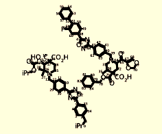 CC(C)Cc1ccc(-c2nc(-c3ccc(CN4CCC(C(=O)O)(C(=O)O)C(OC(=O)OC(C)C)C4(C)C)cc3)no2)cc1.CC1CN(Cc2ccc(-c3noc(-c4ccc(-c5ccccc5)c(F)c4)n3)cc2)C(C(=O)C2=COCO2)CC1(C(=O)O)C(=O)OCc1ccccc1